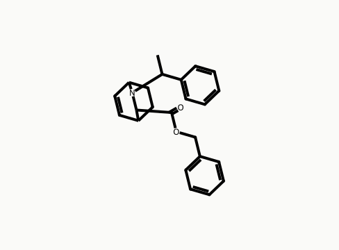 CC(c1ccccc1)N1C2C=CC(CC2)C1C(=O)OCc1ccccc1